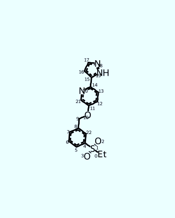 CCS(=O)(=O)c1cccc(COc2ccc(-c3ccn[nH]3)nc2)c1